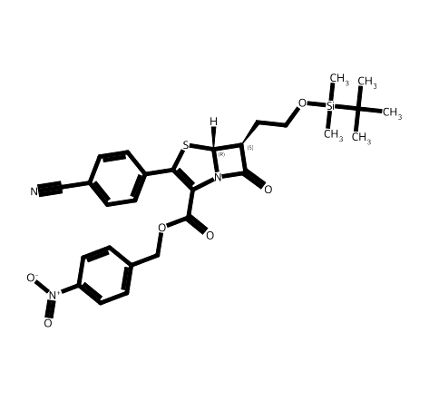 CC(C)(C)[Si](C)(C)OCC[C@H]1C(=O)N2C(C(=O)OCc3ccc([N+](=O)[O-])cc3)=C(c3ccc(C#N)cc3)S[C@H]12